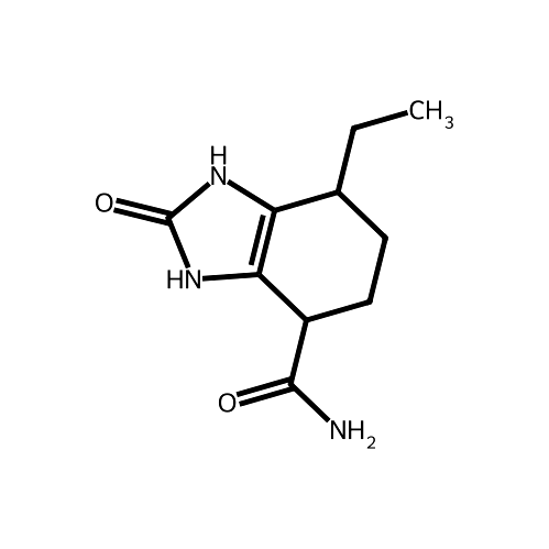 CCC1CCC(C(N)=O)c2[nH]c(=O)[nH]c21